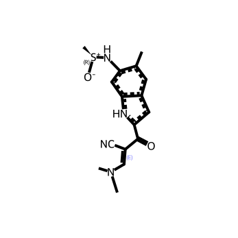 Cc1cc2cc(C(=O)/C(C#N)=C/N(C)C)[nH]c2cc1N[S@+](C)[O-]